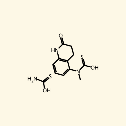 CN(C(O)=S)c1cccc2c1CCC(=O)N2.NC(O)=S